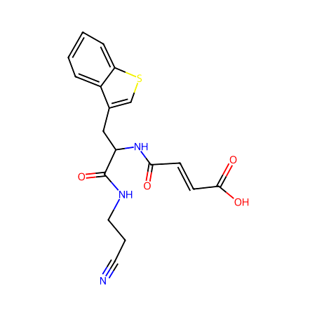 N#CCCNC(=O)C(Cc1csc2ccccc12)NC(=O)C=CC(=O)O